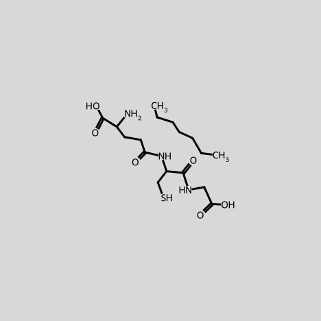 CCCCCCC.NC(CCC(=O)NC(CS)C(=O)NCC(=O)O)C(=O)O